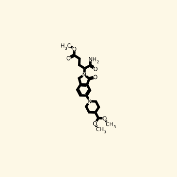 COC(=O)CCC(C(N)=O)N1Cc2ccc(N3CCC(C(OC)OC)CC3)cc2C1=O